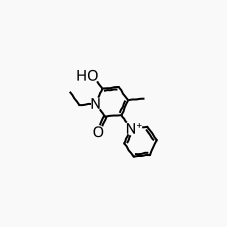 CCn1c(O)cc(C)c(-[n+]2ccccc2)c1=O